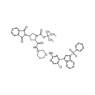 CC(C)(C)OC(=O)N1CC(N2C(=O)c3ccccc3C2=O)CC1C(=O)N[C@@H]1CCC[C@@H](Nc2ncc(Cl)c(-c3cn(S(=O)(=O)c4ccccc4)c4ccccc34)n2)C1